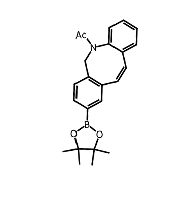 CC(=O)N1Cc2ccc(B3OC(C)(C)C(C)(C)O3)cc2C=Cc2ccccc21